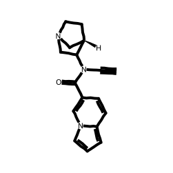 C#CN(C(=O)c1ccc2cccn2c1)C1CN2CC[C@H]1C2